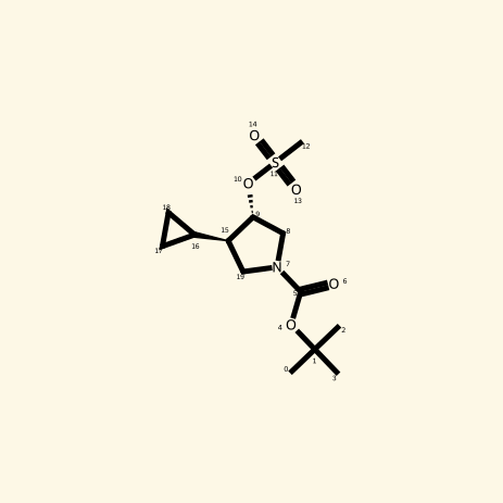 CC(C)(C)OC(=O)N1C[C@@H](OS(C)(=O)=O)[C@H](C2CC2)C1